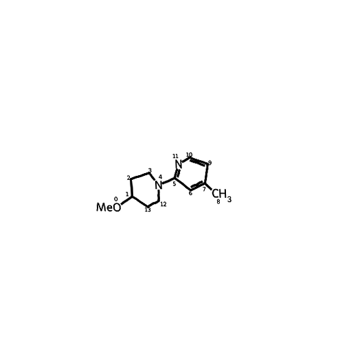 COC1CCN(c2cc(C)ccn2)CC1